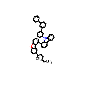 C=C(/C=C\C=C/C)c1ccc2oc3cccc(-c4cccc5c6ccccc6n(-c6cccc(-c7cccc(-c8ccccc8)c7)c6)c45)c3c2c1